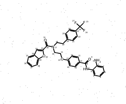 Nc1ccccc1NC(=O)c1ccc(OCCN(CCc2ccc(C(F)(F)F)cc2)C(=O)c2cc3ccccc3o2)cc1